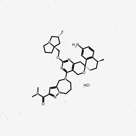 C[C@H]1CC[C@]2(Cc3nc(OC[C@@]45CCCN4C[C@H](F)C5)nc(N4CCCn5nc(C(=O)N(C)C)cc5C4)c3CO2)c2cc(N)ccc21.Cl